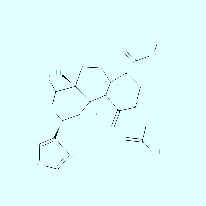 COC(=O)[C@@H]1C[C@H](OC(C)=O)C(=O)C2[C@@]1(C)CC[C@H]1C(O)O[C@H](c3ccoc3)C[C@]21C